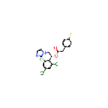 O=C(Cc1ccc(F)cc1)OC(Cn1ccnc1)c1c(Cl)cc(Cl)cc1Cl